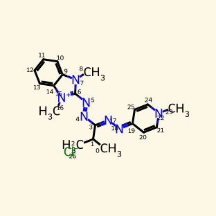 CC(C)C(N=Nc1n(C)c2ccccc2[n+]1C)=NN=c1ccn(C)cc1.[Cl-]